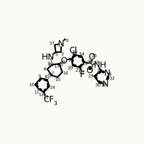 CN1CC(N[C@H]2C[C@@H](c3cccc(C(F)(F)F)c3)CC[C@@H]2Oc2cc(F)c(S(=O)(=O)Nc3ccncn3)cc2Cl)C1